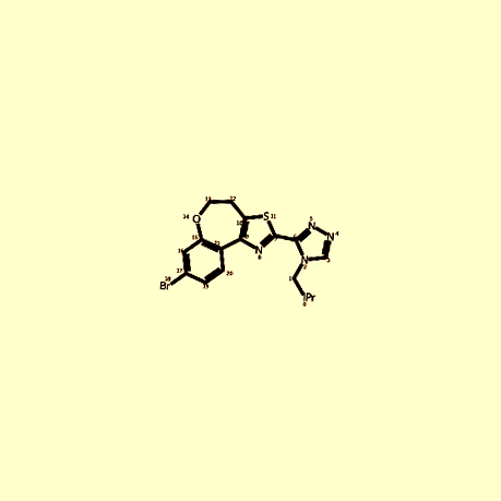 CC(C)Cn1cnnc1-c1nc2c(s1)CCOc1cc(Br)ccc1-2